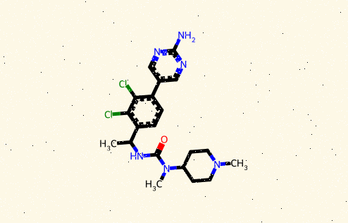 CC(NC(=O)N(C)C1CCN(C)CC1)c1ccc(-c2cnc(N)nc2)c(Cl)c1Cl